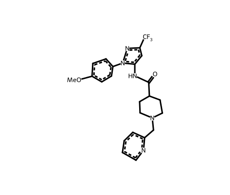 COc1ccc(-n2nc(C(F)(F)F)cc2NC(=O)C2CCN(Cc3ccccn3)CC2)cc1